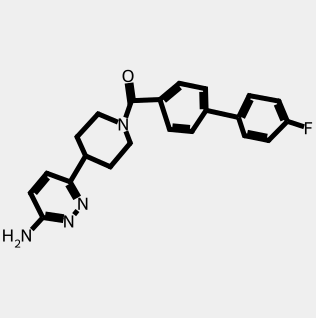 Nc1ccc(C2CCN(C(=O)c3ccc(-c4ccc(F)cc4)cc3)CC2)nn1